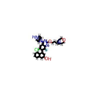 Oc1cc(-c2c(Cl)cc3c(N4CC5CCCC4CN5)nc(OCCCN4C5CCC4COC5)nc3c2F)c2ccccc2c1